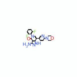 Nc1n[nH]c2c(-c3ccc(N4CCOCC4)nc3)cn(-c3c(F)cccc3F)c(=O)c12